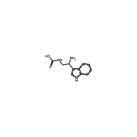 NC(CNC(=O)O)c1c[nH]c2ccccc12